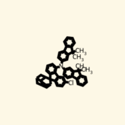 CC1(C)c2ccccc2-c2ccc(N(c3ccc4c(c3)C(C)(C)c3ccccc3-4)c3cccc4c3-c3cc(Cl)ccc3C43C4CC5CC(C4)CC3C5)cc21